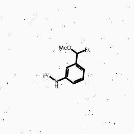 CCC(OC)c1cccc(NC(C)C)c1